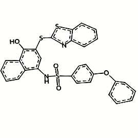 O=S(=O)(Nc1cc(Sc2nc3ccccc3s2)c(O)c2ccccc12)c1ccc(Oc2ccccc2)cc1